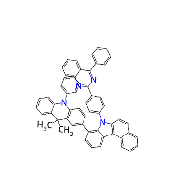 CC1(C)c2ccccc2N(c2ccccc2)c2ccc(-c3cccc4c5c6ccccc6ccc5n(-c5ccc(-c6nc(-c7ccccc7)c7ccccc7n6)cc5)c34)cc21